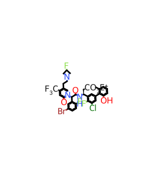 CCOC(=O)C[C@H](NC(=O)C(c1cc(Br)ccc1F)n1cc(CCN2CC(F)C2)c(C(F)(F)F)cc1=O)c1cc(-c2c(C)cccc2O)cc(Cl)c1F